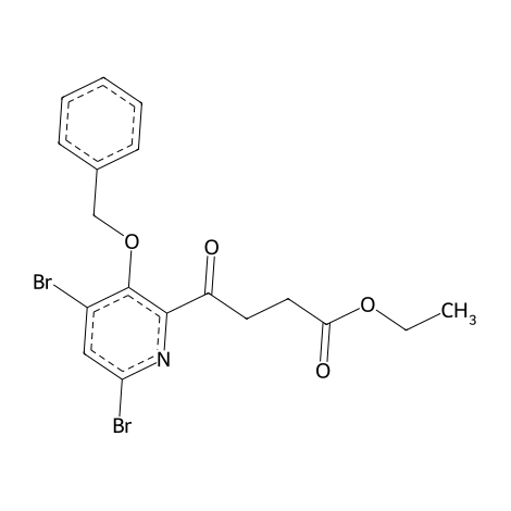 CCOC(=O)CCC(=O)c1nc(Br)cc(Br)c1OCc1ccccc1